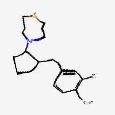 CCc1cc(CC2CCCC2N2CCSCC2)ccc1C=O